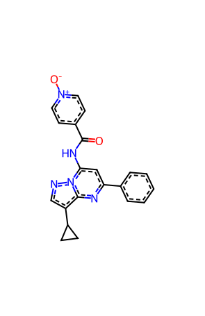 O=C(Nc1cc(-c2ccccc2)nc2c(C3CC3)cnn12)c1cc[n+]([O-])cc1